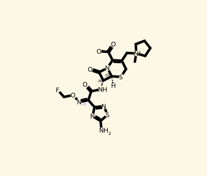 C[N+]1(CC2=C(C(=O)[O-])N3C(=O)[C@@H](NC(=O)/C(=N\OCF)c4nsc(N)n4)[C@@H]3SC2)CCCC1